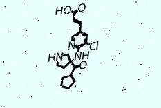 O=C(O)/C=C/c1cnc(N[C@]2(C(=O)C3CCCC3)CCNC2)c(Cl)c1